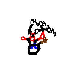 CCOC(=O)C1=C(Br)C2C=CC1N2C(=O)OC(C)(C)C